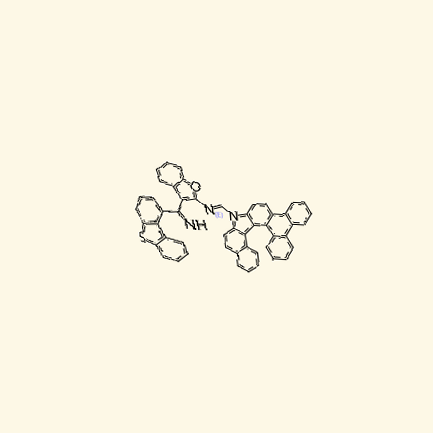 N=C(c1c(/N=C/n2c3ccc4ccccc4c3c3c4c5ccccc5c5ccccc5c4ccc32)oc2ccccc12)c1cccc2sc3ccccc3c12